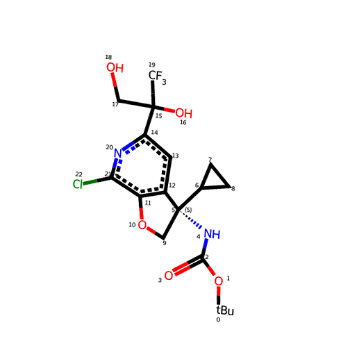 CC(C)(C)OC(=O)N[C@]1(C2CC2)COc2c1cc(C(O)(CO)C(F)(F)F)nc2Cl